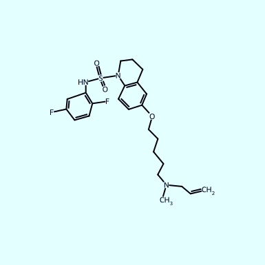 C=CCN(C)CCCCCOc1ccc2c(c1)CCCN2S(=O)(=O)Nc1cc(F)ccc1F